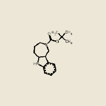 CC(C)(C)OC(=O)N1CCCC2Nc3ccccc3C2C1